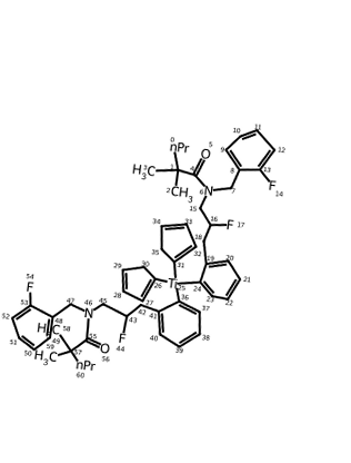 CCCC(C)(C)C(=O)N(Cc1ccccc1F)CC(F)Cc1cccc[c]1[Ti]([C]1=CC=CC1)([C]1=CC=CC1)[c]1ccccc1CC(F)CN(Cc1ccccc1F)C(=O)C(C)(C)CCC